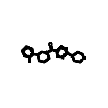 Cc1ccccc1C1CCCN(C(=O)c2cnc(N3CCOCC3)nc2)C1